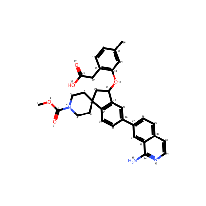 COC(=O)N1CCC2(CC1)CC(Oc1cc(C)ccc1CC(=O)O)c1cc(-c3ccc4ccnc(N)c4c3)ccc12